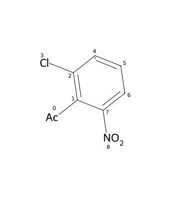 CC(=O)c1c(Cl)[c]ccc1[N+](=O)[O-]